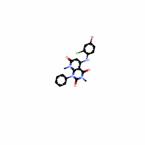 Cn1c(=O)c2c(Nc3ccc(Br)cc3Cl)cc(=O)n(C)c2n(-c2ccccc2)c1=O